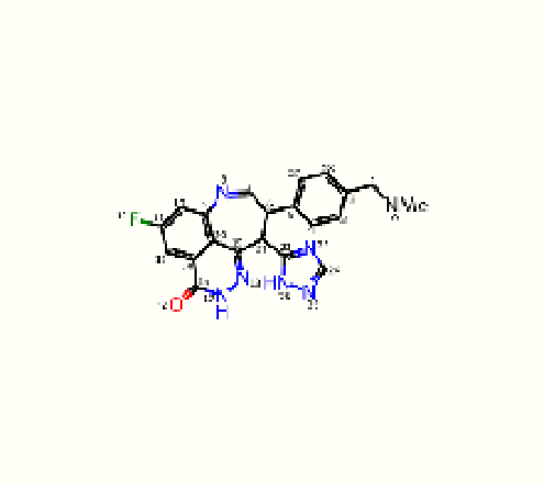 CNCc1ccc(C2C=Nc3cc(F)cc4c(=O)[nH]nc(c34)C2c2ncn[nH]2)cc1